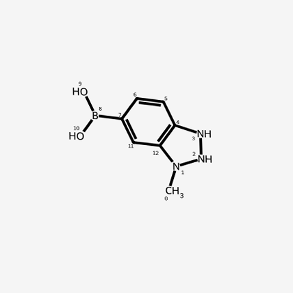 CN1NNc2ccc(B(O)O)cc21